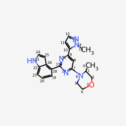 CC1COCCN1c1cc(-c2ccnn2C)nc(-c2cccc3[nH]ccc23)n1